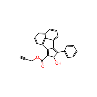 C#CCOC(=O)C1=C2C(=C(c3ccccc3)C1O)c1cccc3cccc2c13